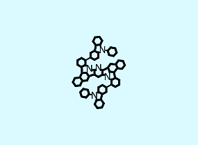 c1ccc(-n2c3ccccc3c3cc(-c4cccc5c6c7ccccc7cc7c8nc9c(cc8n(c45)c76)c4cc5ccccc5c5c6cccc(-c7ccc8c(c7)c7ccccc7n8-c7ccccc7)c6n9c45)ccc32)cc1